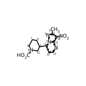 Cc1nn2c(C3CCCN(C(=O)O)C3)ccnc2c1[N+](=O)[O-]